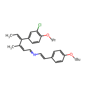 C\C=C(/C(C)=C\C=N\C=C\c1ccc(OC(C)(C)C)cc1)c1ccc(OC(C)C)c(Cl)c1